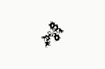 C=CCC(CC(=O)OC(C)(C)C)C(=O)OC[C@@H](NC(=O)[C@H](CC=C)Cc1ccccc1)c1ccccc1